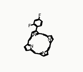 Fc1ccc(C2=CC3=CC4=NC(=CC5=NC(=CC6=NC(=CC2=N3)C=C6)C=C5)C=C4)c(F)c1